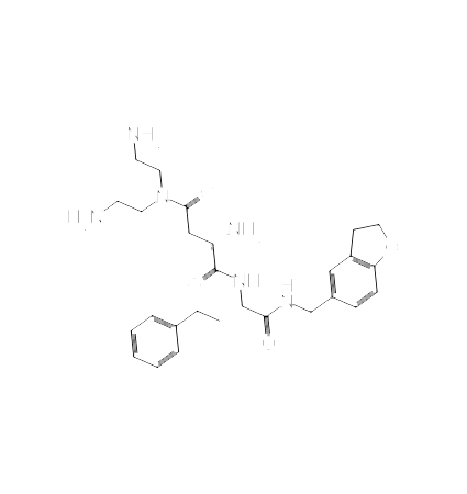 NCCN(CCN)C(=O)C[C@H](N)C(=O)N[C@@H](CCc1ccccc1)C(=O)NCc1ccc2c(c1)CCO2